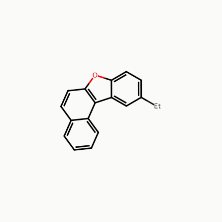 CCc1ccc2oc3ccc4ccccc4c3c2c1